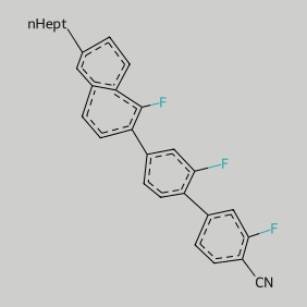 CCCCCCCc1ccc2c(F)c(-c3ccc(-c4ccc(C#N)c(F)c4)c(F)c3)ccc2c1